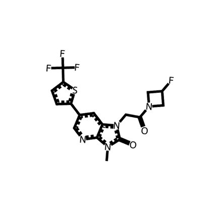 Cn1c(=O)n(CC(=O)N2CC(F)C2)c2cc(-c3ccc(C(F)(F)F)s3)cnc21